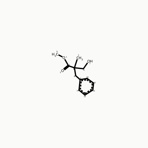 COC(=O)C(C)(CO)Cc1ccccc1